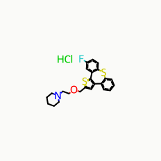 Cl.Fc1ccc2c(c1)-c1sc(COCCN3CCCCC3)cc1-c1ccccc1S2